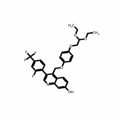 CCOC(COc1ccc(OCc2c(-c3ccc(C(F)(F)F)cc3F)cnc3cc(O)ccc23)cc1)OCC